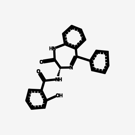 O=C(N[C@H]1N=C(c2ccccc2)c2ccccc2NC1=O)c1ccccc1O